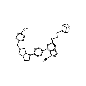 COc1ccc(CN2CC3CCN(c4ccc(-c5cc(OCCN6C7COCC6C7)cn6ncc(C#N)c56)cn4)C3C2)cn1